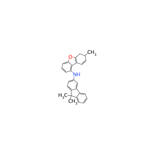 CC1C=Cc2c(oc3cccc(Nc4ccc5c(c4)-c4ccccc4C5(C)C)c23)C1